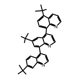 CC(C)(C)c1ccc2c(-c3cc(C(C)(C)C)cc4c(-c5ccc(C(C)(C)C)c6cccnc56)ccnc34)ccnc2c1